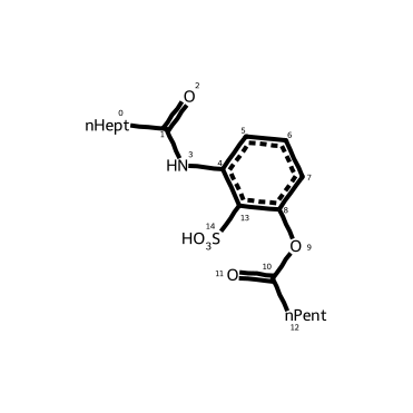 CCCCCCCC(=O)Nc1cccc(OC(=O)CCCCC)c1S(=O)(=O)O